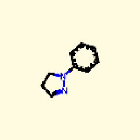 C1=NN(c2ccccc2)CC1